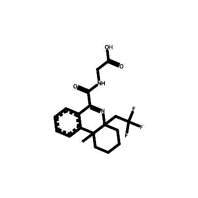 CC12CCCCC1(CC(F)(F)F)N=C(C(=O)NCC(=O)O)c1ccccc12